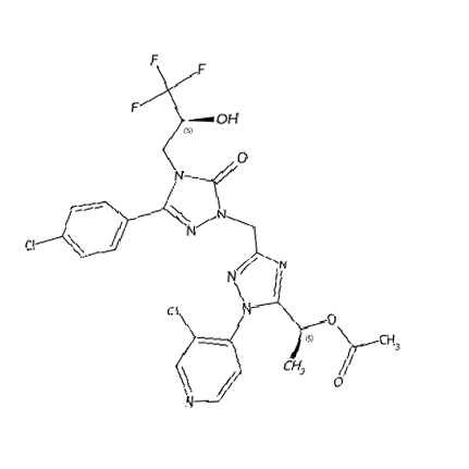 CC(=O)O[C@@H](C)c1nc(Cn2nc(-c3ccc(Cl)cc3)n(C[C@H](O)C(F)(F)F)c2=O)nn1-c1ccncc1Cl